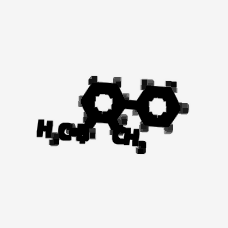 C[B]c1cccc(-c2ccccc2)c1C